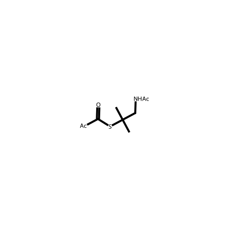 CC(=O)NCC(C)(C)SC(=O)C(C)=O